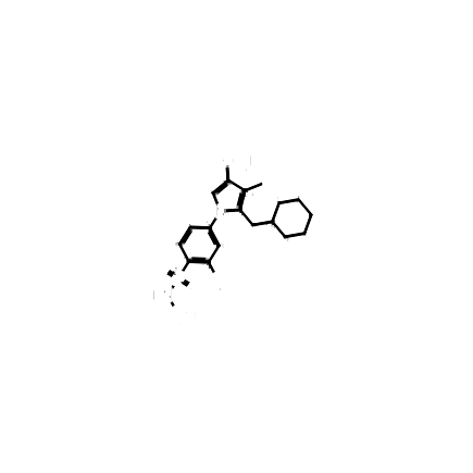 CCOC(=O)c1cn(-c2ccc(S(=O)(=O)NC(C)(C)C)c(C(F)(F)F)c2)c(CC2CCCCC2)c1C